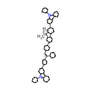 CC1(C)c2cc(-c3ccc(/C=C(\c4ccccc4)c4ccc(-c5ccc6c(c5)c5ccccc5n6-c5ccccc5)cc4)cc3)ccc2-c2ccc(-c3ccc4c(c3)c3ccccc3n4-c3ccccc3)cc21